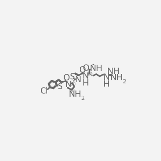 CNC(=O)[C@H](CCCCNC(=N)N)NC(=O)c1csc([C@@H]2C[C@@H](N)CN2C(=O)c2cc3ccc(Cl)cc3s2)n1